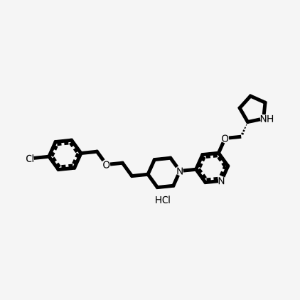 Cl.Clc1ccc(COCCC2CCN(c3cncc(OC[C@@H]4CCCN4)c3)CC2)cc1